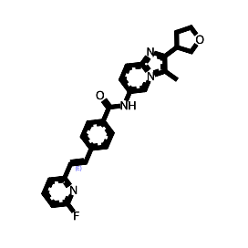 Cc1c(C2CCOC2)nc2ccc(NC(=O)c3ccc(/C=C/c4cccc(F)n4)cc3)cn12